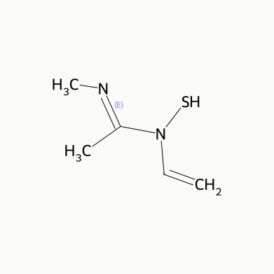 C=CN(S)/C(C)=N/C